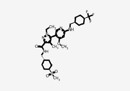 CCn1nc(C(=O)NC[C@H]2CC[C@H](S(C)(=O)=O)CC2)c(C)c1-c1cnc(NC[C@H]2CC[C@@H](C(F)(F)F)CC2)cc1OC